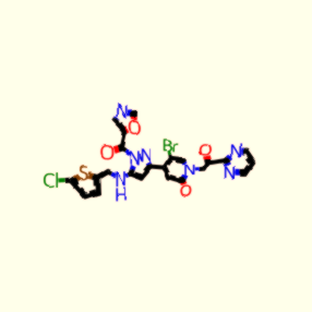 O=C(Cn1cc(Br)c(-c2cc(NCc3ccc(Cl)s3)n(C(=O)c3cnco3)n2)cc1=O)c1ncccn1